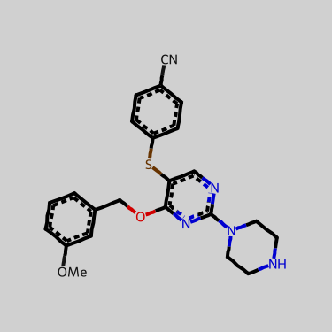 COc1cccc(COc2nc(N3CCNCC3)ncc2Sc2ccc(C#N)cc2)c1